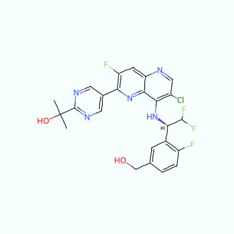 CC(C)(O)c1ncc(-c2nc3c(N[C@H](c4cc(CO)ccc4F)C(F)F)c(Cl)cnc3cc2F)cn1